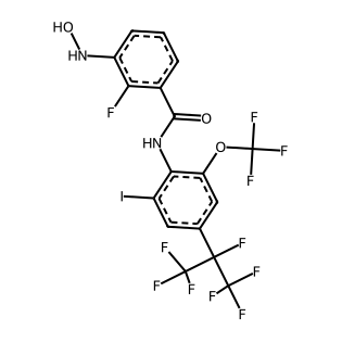 O=C(Nc1c(I)cc(C(F)(C(F)(F)F)C(F)(F)F)cc1OC(F)(F)F)c1cccc(NO)c1F